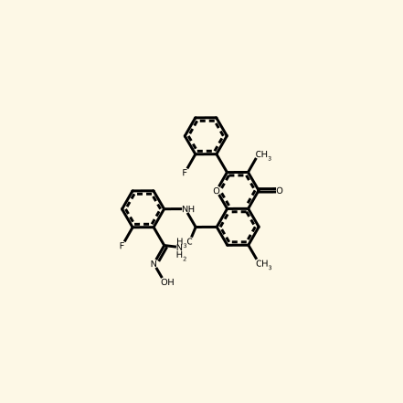 Cc1cc(C(C)Nc2cccc(F)c2C(N)=NO)c2oc(-c3ccccc3F)c(C)c(=O)c2c1